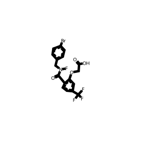 O=C(O)COc1cc(C(F)(F)F)ccc1C(=O)N(F)Cc1ccc(Br)cc1